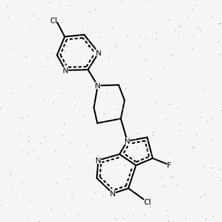 Fc1cn(C2CCN(c3ncc(Cl)cn3)CC2)c2ncnc(Cl)c12